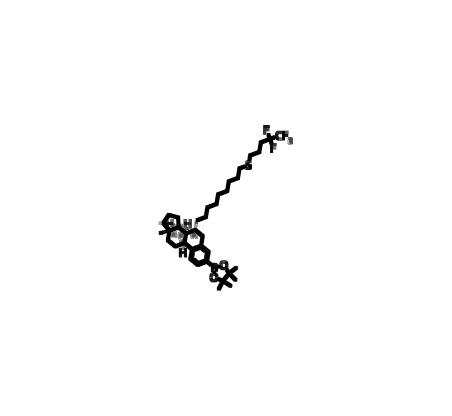 CC1(C)OB(c2ccc3c(c2)C[C@@H](CCCCCCCCCSCCCC(F)(F)C(F)(F)F)[C@H]2[C@@H]3CC[C@]3(C)[CH]CC[C@@H]23)OC1(C)C